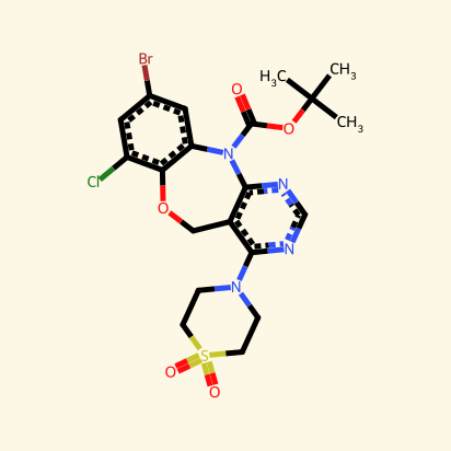 CC(C)(C)OC(=O)N1c2cc(Br)cc(Cl)c2OCc2c(N3CCS(=O)(=O)CC3)ncnc21